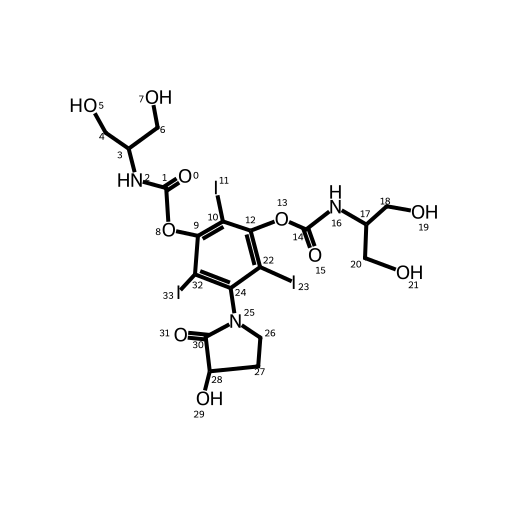 O=C(NC(CO)CO)Oc1c(I)c(OC(=O)NC(CO)CO)c(I)c(N2CCC(O)C2=O)c1I